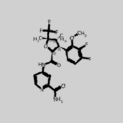 COc1c([C@H]2[C@@H](C(=O)Nc3ccnc(C(N)=O)c3)O[C@](C)(C(F)(F)F)[C@@H]2C)ccc(F)c1F